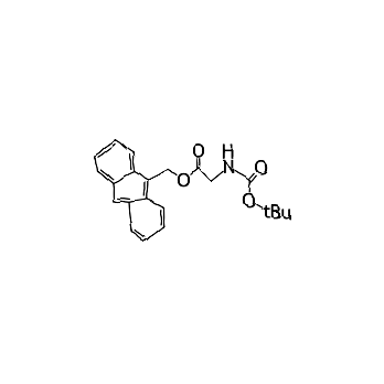 CC(C)(C)OC(=O)NCC(=O)OCc1c2ccccc2cc2ccccc12